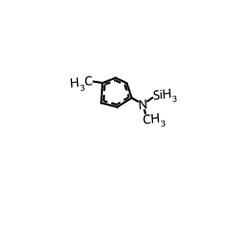 Cc1ccc(N(C)[SiH3])cc1